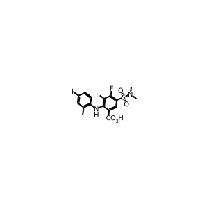 Cc1cc(I)ccc1Nc1c(C(=O)O)cc(S(=O)(=O)N(C)C)c(F)c1F